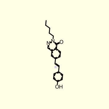 CCCCCn1ncc2cc(/C=C/c3ccc(O)cc3)ccc2c1=O